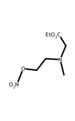 CCOC(=O)CN(C)CCO[N+](=O)[O-]